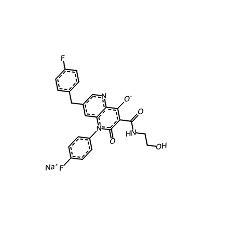 O=C(NCCO)c1c([O-])c2ncc(Cc3ccc(F)cc3)cc2n(-c2ccc(F)cc2)c1=O.[Na+]